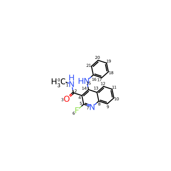 CNC(=O)c1c(F)nc2ccccc2c1Nc1ccccc1